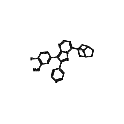 CCN1C2CCC1CC(c1ccnc3c(-c4ccc(F)c(OC)c4)c(-c4ccncc4)nn13)C2